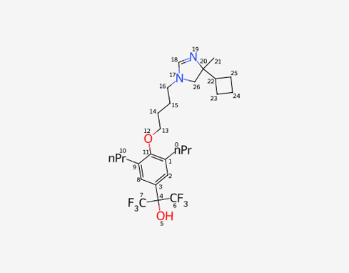 CCCc1cc(C(O)(C(F)(F)F)C(F)(F)F)cc(CCC)c1OCCCCN1C=NC(C)(C2CCC2)C1